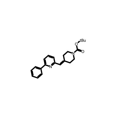 CC(C)(C)OC(=O)N1CCC(=Cc2cccc(-c3ccccc3)n2)CC1